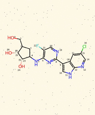 OCC1CC(Nc2nc(-c3c[nH]c4ncc(Cl)cc34)ncc2F)[C@H](O)[C@@H]1O